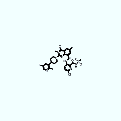 Cc1cc([C@@H](C)Nc2ccc(Cl)nc2C(=O)NS(C)(=O)=O)c2nc(N3CCC(c4cc(F)cnc4C)CC3)n(C)c(=O)c2c1